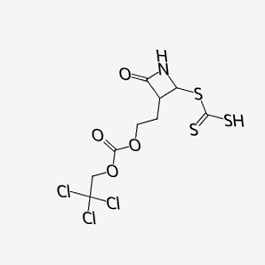 O=C(OCCC1C(=O)NC1SC(=S)S)OCC(Cl)(Cl)Cl